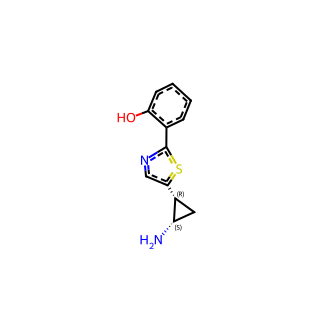 N[C@H]1C[C@H]1c1cnc(-c2ccccc2O)s1